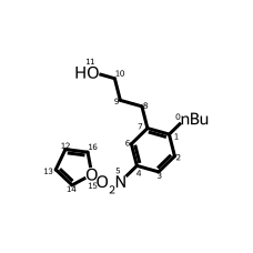 CCCCc1ccc([N+](=O)[O-])cc1CCCO.c1ccoc1